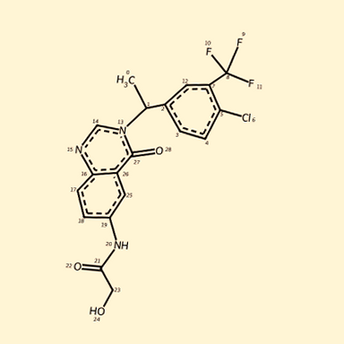 CC(c1ccc(Cl)c(C(F)(F)F)c1)n1cnc2ccc(NC(=O)CO)cc2c1=O